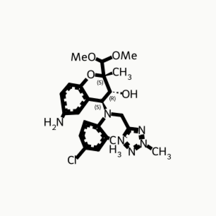 COC(OC)[C@@]1(C)Oc2ccc(N)cc2[C@H](N(Cc2nnn(C)n2)c2ccc(Cl)cc2C)[C@H]1O